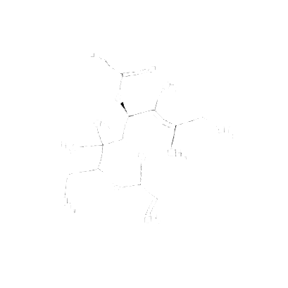 C=CC1OC(CC)C(C)(C)[C@H]([C@@H](OC(C)=O)/C(C)=C(\C)CC)O1